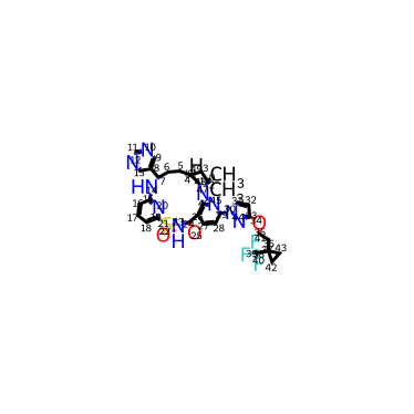 CC1(C)C[C@@H]2CCC(c3cncnc3)Nc3cccc(n3)[S+]([O-])NC(=O)c3ccc(-n4ccc(OCCC5(C(F)(F)F)CC5)n4)nc3N1C2